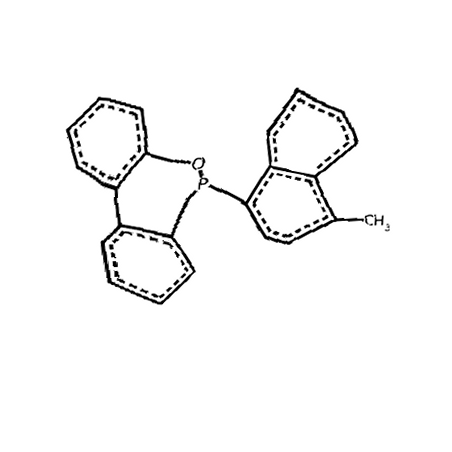 Cc1ccc(P2Oc3ccccc3-c3ccccc32)c2ccccc12